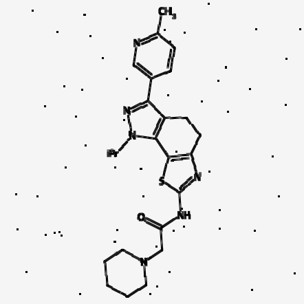 Cc1ccc(-c2nn(C(C)C)c3c2CCc2nc(NC(=O)CN4CCCCC4)sc2-3)cn1